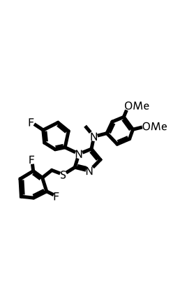 COc1ccc(N(C)c2cnc(SCc3c(F)cccc3F)n2-c2ccc(F)cc2)cc1OC